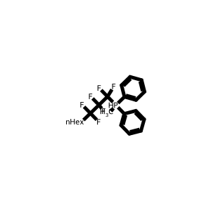 CCCCCCC(F)(F)C(F)(F)C(F)(F)[PH](C)(c1ccccc1)c1ccccc1